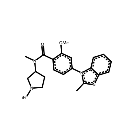 COc1cc(-n2c(C)nc3ccccc32)ccc1C(=O)N(C)C1CCN(C(C)C)C1